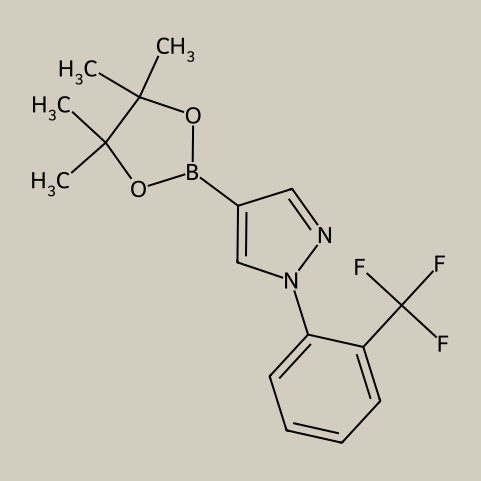 CC1(C)OB(c2cnn(-c3ccccc3C(F)(F)F)c2)OC1(C)C